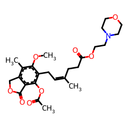 COc1c(C)c2c(c(OC(C)=O)c1CC=C(C)CCC(=O)OCCN1CCOCC1)C(=O)OC2